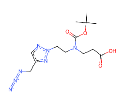 CC(C)(C)OC(=O)N(CCC(=O)O)CCn1ncc(CN=[N+]=[N-])n1